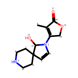 CC1=C(N2C=CC3(CCNCC3)C2O)COC1=O